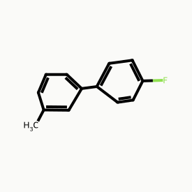 Cc1cccc(-c2ccc(F)cc2)c1